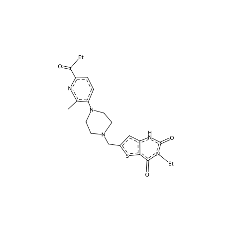 CCC(=O)c1ccc(N2CCN(Cc3cc4[nH]c(=O)n(CC)c(=O)c4s3)CC2)c(C)n1